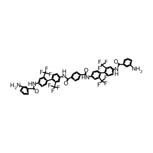 Nc1cccc(C(=O)Nc2ccc(-c3ccc(NC(=O)c4ccc(C(=O)Nc5ccc(-c6ccc(NC(=O)c7cccc(N)c7)cc6C(F)(F)F)c(C(F)(F)F)c5)cc4)cc3C(F)(F)F)c(C(F)(F)F)c2)c1